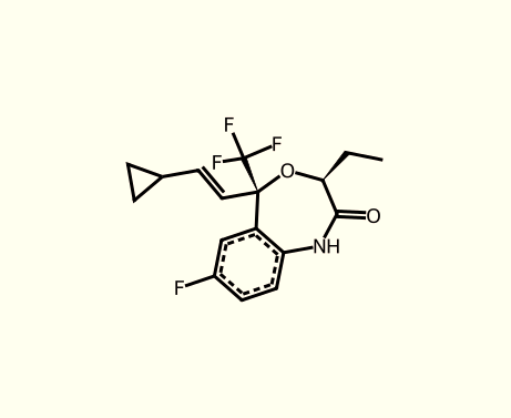 CC[C@@H]1O[C@](/C=C/C2CC2)(C(F)(F)F)c2cc(F)ccc2NC1=O